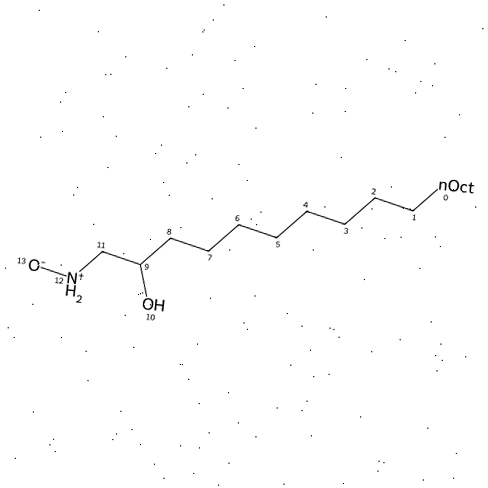 CCCCCCCCCCCCCCCCC(O)C[NH2+][O-]